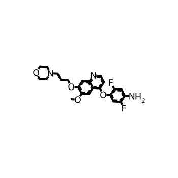 COc1cc2c(Oc3cc(F)c(N)cc3F)ccnc2cc1OCCCN1CCOCC1